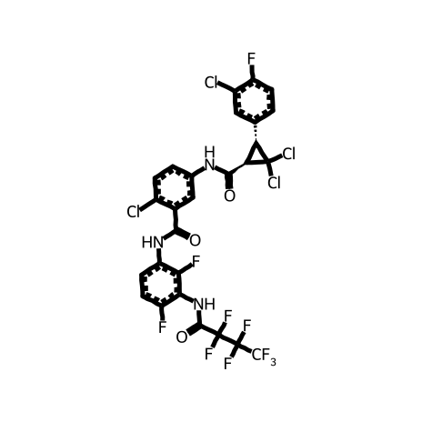 O=C(Nc1ccc(F)c(NC(=O)C(F)(F)C(F)(F)C(F)(F)F)c1F)c1cc(NC(=O)[C@H]2[C@H](c3ccc(F)c(Cl)c3)C2(Cl)Cl)ccc1Cl